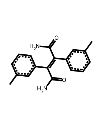 Cc1cccc(/C(C(N)=O)=C(\C(N)=O)c2cccc(C)c2)c1